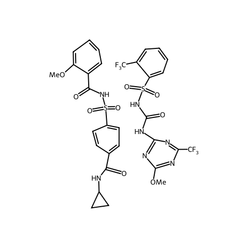 COc1ccccc1C(=O)NS(=O)(=O)c1ccc(C(=O)NC2CC2)cc1.COc1nc(NC(=O)NS(=O)(=O)c2ccccc2C(F)(F)F)nc(C(F)(F)F)n1